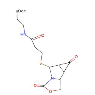 CCCCCCCCCCCCNC(=O)CCSC1C2C(=O)C2C2COC(=O)N21